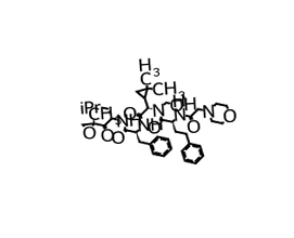 CC(C)C[C@H](NC(=O)[C@H](Cc1ccccc1)NC(=O)[C@H](C1CC1(C)C)N(CO)C(=O)[C@H](CCc1ccccc1)NC(=O)CN1CCOCC1)C(=O)[C@@]1(C)CO1